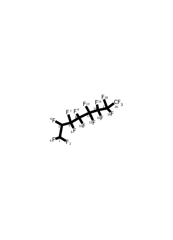 F[C](F)C(F)C(F)(F)C(F)(F)C(F)(F)C(F)(F)C(F)(F)C(F)(F)F